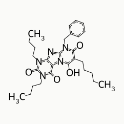 CCCCCc1c(O)n2c3c(=O)n(CCCC)c(=O)n(CCCC)c3nc2n(Cc2ccccc2)c1=O